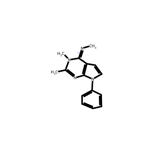 C/N=c1\c2ccn(-c3ccccc3)c2nc(C)n1C